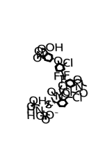 CC1COc2ccccc2N1C(=O)C(Cl)Cl.CCc1cccc(CC)c1N(COC)C(=O)CCl.C[S+](C)C.O=C(O)CNCP(=O)([O-])O.O=C(O)c1cc(Oc2ccc(C(F)(F)F)cc2Cl)ccc1[N+](=O)[O-]